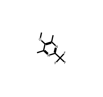 COc1c(C)nc(C(F)(F)F)nc1C